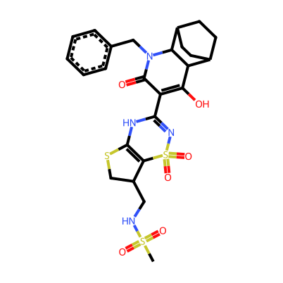 CS(=O)(=O)NCC1CSC2=C1S(=O)(=O)N=C(C1=C(O)C3C4CCC(CC4)C3N(Cc3ccccc3)C1=O)N2